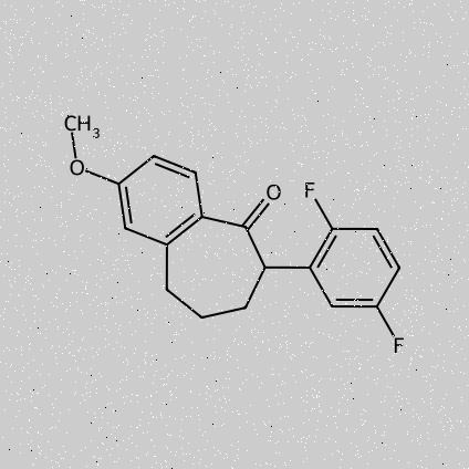 COc1ccc2c(c1)CCCC(c1cc(F)ccc1F)C2=O